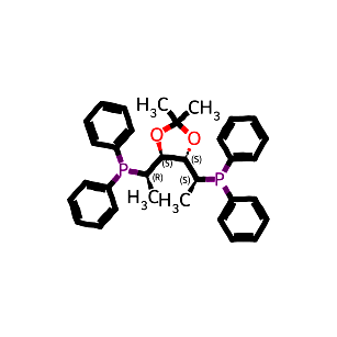 C[C@H]([C@H]1OC(C)(C)O[C@@H]1[C@H](C)P(c1ccccc1)c1ccccc1)P(c1ccccc1)c1ccccc1